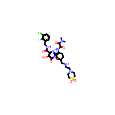 CN(C)C(=O)C(=O)NC12CCC(CNCCN3CCS(=O)(=O)CC3)(CC1)Cn1c2nc(C(=O)NCc2cccc(Cl)c2F)c(O)c1=O